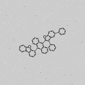 c1ccc(-c2ccc3oc(-c4c5ccccc5c(-c5cccc6c5oc5ccccc56)c5ccccc45)c(-c4ccccc4)c3c2)cc1